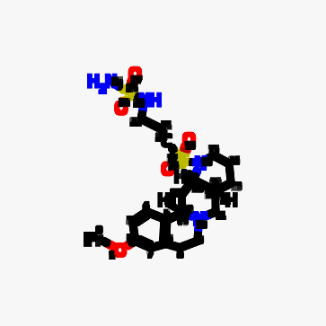 CC(C)Oc1ccc2c(c1)CCN1C[C@@H]3CCCN(S(=O)(=O)CCCNS(N)(=O)=O)[C@@H]3C[C@@H]21